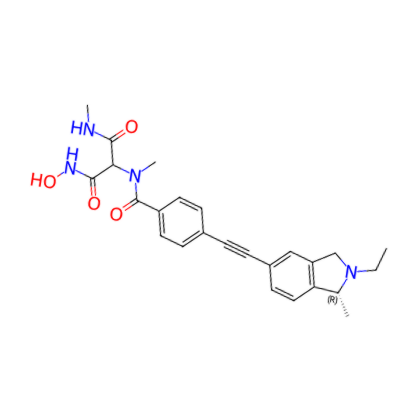 CCN1Cc2cc(C#Cc3ccc(C(=O)N(C)C(C(=O)NC)C(=O)NO)cc3)ccc2[C@H]1C